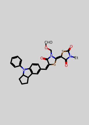 CCN1C(=O)S/C(=c2/s/c(=C/c3ccc4c(c3)C3CCCC3N4c3ccccc3)c(=O)n2COC=O)C1=O